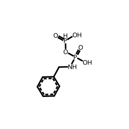 O=[PH](O)OP(=O)(O)NCc1ccccc1